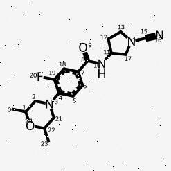 CC1CN(c2ccc(C(=O)NC3CCN(C#N)C3)cc2F)CC(C)O1